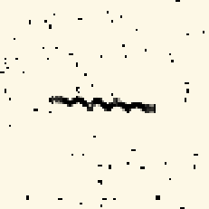 OCCSCCOCCS